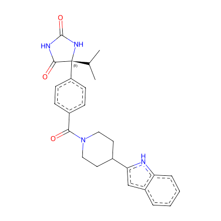 CC(C)[C@]1(c2ccc(C(=O)N3CCC(c4cc5ccccc5[nH]4)CC3)cc2)NC(=O)NC1=O